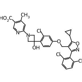 Cc1cc(N2CC(O)(c3ccc(OCc4c(-c5c(Cl)cccc5Cl)noc4C4CC4)cc3Cl)C2)ncc1C(=O)O